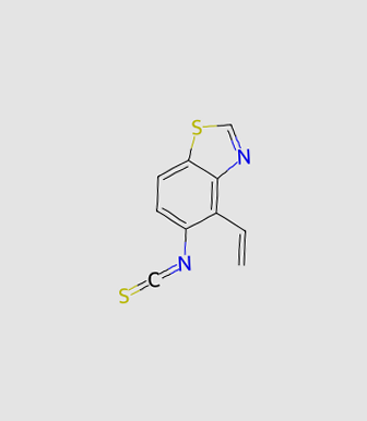 C=Cc1c(N=C=S)ccc2scnc12